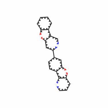 c1ccc2c(c1)oc1cc(-c3ccc4c(c3)oc3cccnc34)ncc12